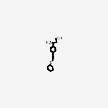 NC(CCO)c1ccc(C#CCCC2CCCCC2)cc1